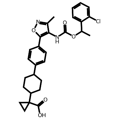 Cc1noc(-c2ccc(C3CCC(C4(C(=O)O)CC4)CC3)cc2)c1NC(=O)OC(C)c1ccccc1Cl